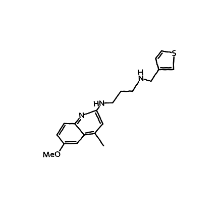 COc1ccc2nc(NCCCNCc3ccsc3)cc(C)c2c1